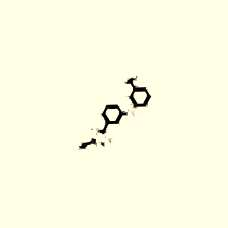 FC(F)(F)c1cccc(Nc2cccc(-c3noc(C(F)(F)F)n3)c2)c1